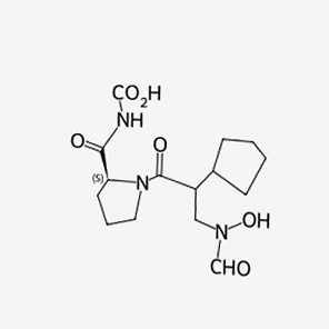 O=CN(O)CC(C(=O)N1CCC[C@H]1C(=O)NC(=O)O)C1CCCC1